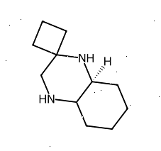 C1CC[C@@H]2NC3(CCC3)CNC2C1